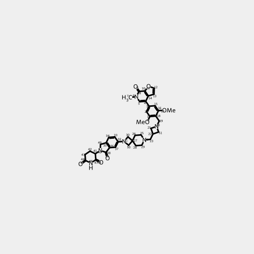 COc1cc(-c2cn(C)c(=O)c3occc23)cc(OC)c1CN1CC(CN2CCC3(CC2)CN(c2ccc4c(c2)C(=O)N(C2CCC(=O)NC2=O)C4)C3)C1